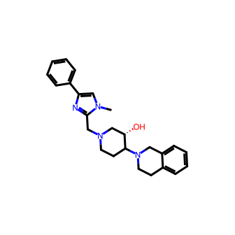 Cn1cc(-c2ccccc2)nc1CN1CCC(N2CCc3ccccc3C2)[C@@H](O)C1